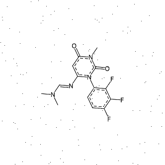 CN(C)C=Nc1cc(=O)n(C)c(=O)n1-c1ccc(F)c(F)c1F